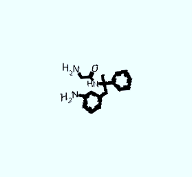 CC(Cc1cccc(N)c1)(NC(=O)CN)c1ccccc1